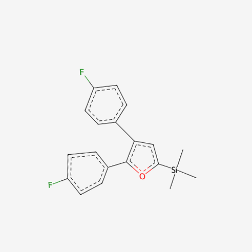 C[Si](C)(C)c1cc(-c2ccc(F)cc2)c(-c2ccc(F)cc2)o1